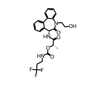 C[C@H](OC(=O)NCCC(F)(F)F)C(=O)N[C@@H]1C(=O)N(CCO)c2ccccc2-c2ccccc21